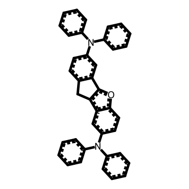 c1ccc(N(c2ccccc2)c2ccc3c(c2)-c2oc4ccc(N(c5ccccc5)c5ccccc5)cc4c2C3)cc1